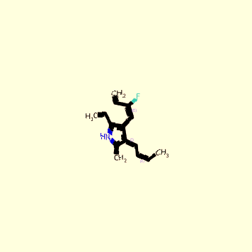 C=C/C(F)=C\c1c(C=C)[nH]c(=C)/c1=C\C=C/C